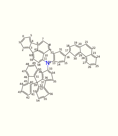 c1ccc2c(c1)-c1cccc3c(N(c4ccc(-c5ccc6ccc7ccccc7c6c5)cc4)c4ccc5c(c4)C4(c6ccccc6-c6ccccc64)c4ccccc4-5)ccc-2c13